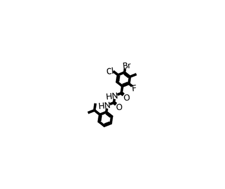 Cc1c(F)c(C(=O)NC(=O)Nc2ccccc2C(C)C)cc(Cl)c1Br